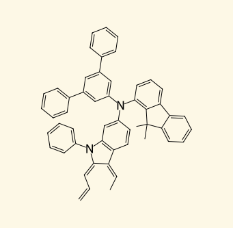 C=C/C=c1\c(=C/C)c2ccc(N(c3cc(-c4ccccc4)cc(-c4ccccc4)c3)c3cccc4c3C(C)(C)c3ccccc3-4)cc2n1-c1ccccc1